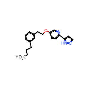 O=C(O)CCCc1cccc(CCOc2ccc(-c3ccn[nH]3)nc2)c1